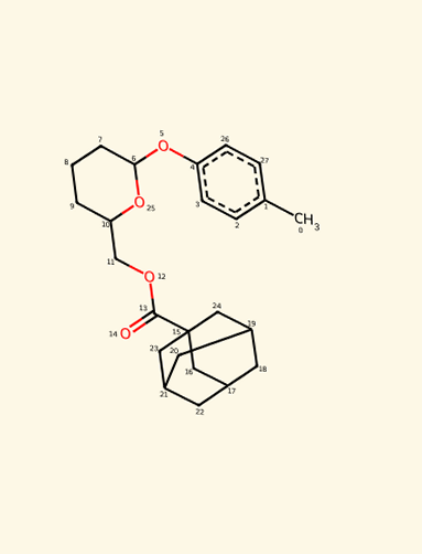 Cc1ccc(OC2CCCC(COC(=O)C34CC5CC(CC(C5)C3)C4)O2)cc1